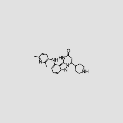 Cc1ccc(Nc2cccc3nn4c(C5CCNCC5)cc(=O)[nH]c4c23)c(C)n1